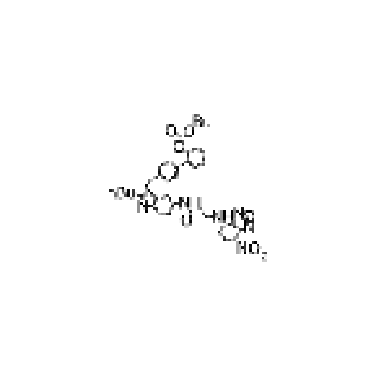 CCCCc1nc2ccc(NC(=O)CCNc3ccc([N+](=O)[O-])c4nonc34)cc2n1Cc1ccc(-c2ccccc2OC(=O)OC(C)(C)C)cc1